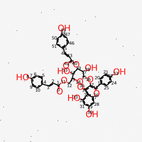 O=C(/C=C/c1ccc(O)cc1)OCC1O[C@@H](Oc2c(-c3ccc(O)cc3)oc3cc(O)cc(O)c3c2=O)C(O)C(OC(=O)/C=C/c2ccc(O)cc2)[C@@H]1O